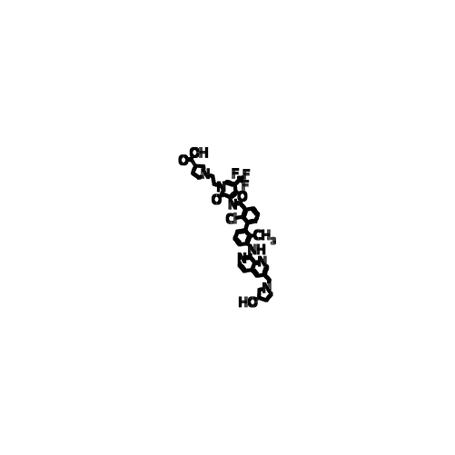 Cc1c(Nc2nccc3cc(CN4CC[C@@H](O)C4)cnc23)cccc1-c1cccc(-c2nc3c(=O)n(CCN4CC[C@@H](C(=O)O)C4)cc(C(F)(F)F)c3o2)c1Cl